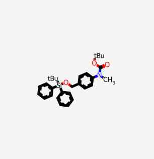 CN(C(=O)OC(C)(C)C)c1ccc(CO[Si](c2ccccc2)(c2ccccc2)C(C)(C)C)cc1